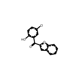 O=C(c1cc2ccccc2o1)c1cc(Cl)ccc1O